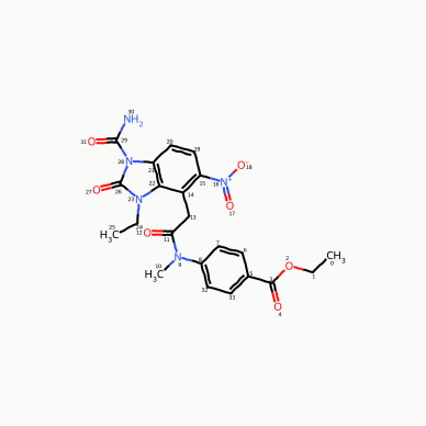 CCOC(=O)c1ccc(N(C)C(=O)Cc2c([N+](=O)[O-])ccc3c2n(CC)c(=O)n3C(N)=O)cc1